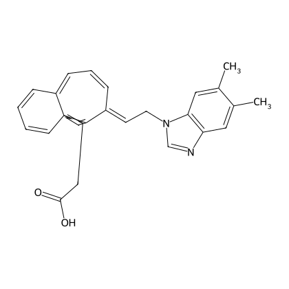 Cc1cc2ncn(CC=C3C=CC=C4C=CC=CC45CC=C(CC(=O)O)C=C35)c2cc1C